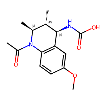 COc1ccc2c(c1)[C@H](NC(=O)O)[C@@H](C)[C@H](C)N2C(C)=O